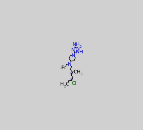 C=C/C(Cl)=C\C=C(/C)CCN(CC(C)C)C1CCN(c2nc(N)n[nH]2)CC1